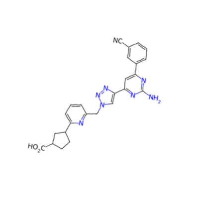 N#Cc1cccc(-c2cc(-c3cn(Cc4cccc(C5CCC(C(=O)O)C5)n4)nn3)nc(N)n2)c1